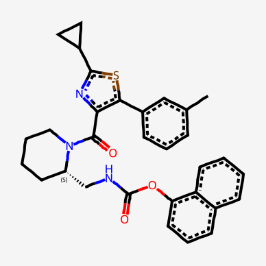 Cc1cccc(-c2sc(C3CC3)nc2C(=O)N2CCCC[C@H]2CNC(=O)Oc2cccc3ccccc23)c1